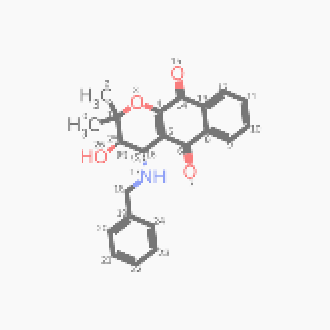 CC1(C)OC2=C(C(=O)c3ccccc3C2=O)[C@H](NCc2ccccc2)[C@H]1O